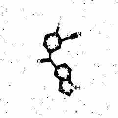 N#Cc1cc(C(=O)c2ccc3[nH]ccc3c2)ccc1F